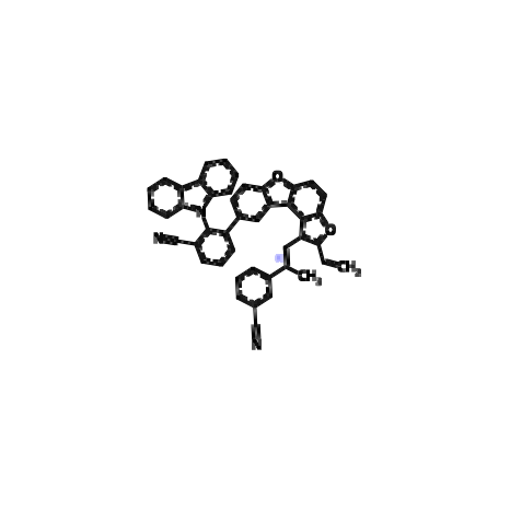 C=Cc1oc2ccc3oc4ccc(-c5cccc(C#N)c5-n5c6ccccc6c6ccccc65)cc4c3c2c1/C=C(\C)c1cccc(C#N)c1